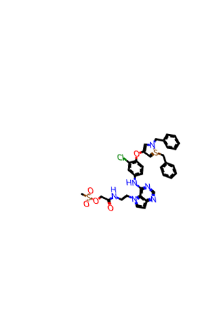 CS(=O)(=O)OCC(=O)NCCn1ccc2ncnc(Nc3ccc(OC4=CN(Cc5ccccc5)S(Cc5ccccc5)=C4)c(Cl)c3)c21